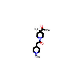 CC(C)(C)C(=O)C1(C)CCN(C(=O)CC2CCN(C(C)(C)C)CC2)CC1